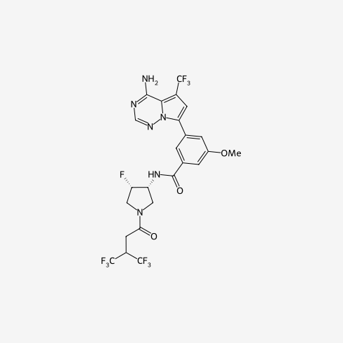 COc1cc(C(=O)N[C@@H]2CN(C(=O)CC(C(F)(F)F)C(F)(F)F)C[C@@H]2F)cc(-c2cc(C(F)(F)F)c3c(N)ncnn23)c1